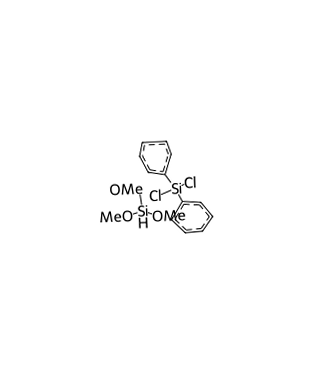 CO[SiH](OC)OC.Cl[Si](Cl)(c1ccccc1)c1ccccc1